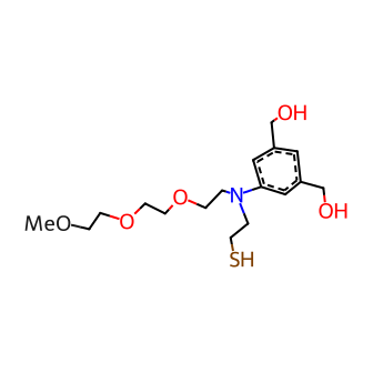 COCCOCCOCCN(CCS)c1cc(CO)cc(CO)c1